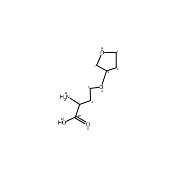 NC(CCOC1CCOC1)C(=O)O